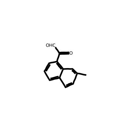 Cc1ccc2cccc(C(=O)C=O)c2c1